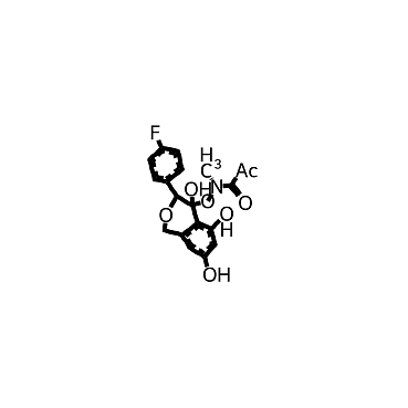 CC(=O)C(=O)N(C)OC1(O)c2c(O)cc(O)cc2COC1c1ccc(F)cc1